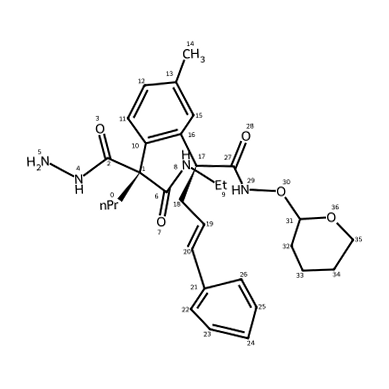 CCC[C@](C(=O)NN)(C(=O)NCC)c1ccc(C)cc1[C@H](C/C=C/c1ccccc1)C(=O)NOC1CCCCO1